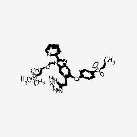 CCS(=O)(=O)c1ccc(Oc2cc3nc(-c4ccccn4)n(COCC[Si](C)(C)C)c3cc2Cc2nn[nH]n2)cc1